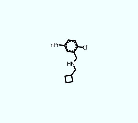 CCCc1ccc(Cl)c(CNCC2CCC2)c1